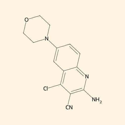 N#Cc1c(N)nc2ccc(N3CCOCC3)cc2c1Cl